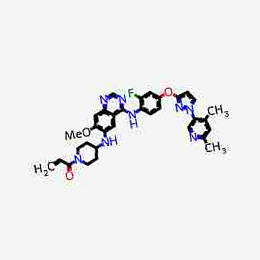 C=CC(=O)N1CCC(Nc2cc3c(Nc4ccc(Oc5ccn(-c6cnc(C)cc6C)n5)cc4F)ncnc3cc2OC)CC1